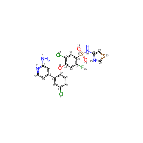 Nc1cc(-c2cc(Cl)ccc2Oc2cc(F)c(S(=O)(=O)Nc3cscn3)cc2Cl)ccn1